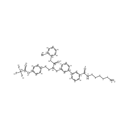 NCCCCCNC(=O)c1cccc(-c2cccc(CN(CCc3ccc(OC(=O)C(F)(F)F)cc3)C(=O)Cc3ccccc3Br)c2)c1